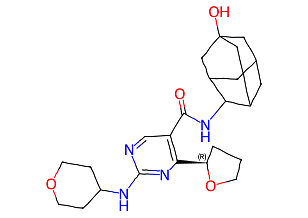 O=C(NC1C2CC3CC1CC(O)(C3)C2)c1cnc(NC2CCOCC2)nc1[C@H]1CCCO1